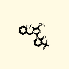 CC1=C(C)N(Cc2ccccc2)C(n2cccc(C(F)(F)F)c2=O)S1